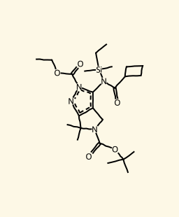 CCOC(=O)n1nc2c(c1N(C(=O)C1CCC1)[Si](C)(C)CC)CN(C(=O)OC(C)(C)C)C2(C)C